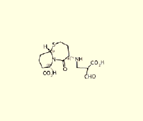 O=CC(CN[C@H]1CCS[C@H]2CCC[C@@H](C(=O)O)N2C1=O)C(=O)O